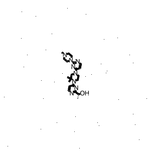 C[C@@H](O)c1nccc(N2CCN(c3ccnc(N4CCN(C)CC4)n3)CC2(C)C)n1